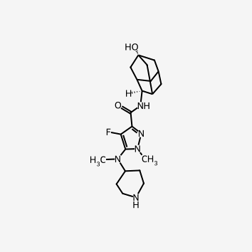 CN(c1c(F)c(C(=O)N[C@H]2C3CC4CC2C[C@](O)(C4)C3)nn1C)C1CCNCC1